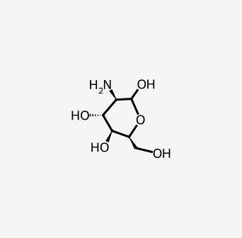 N[C@H]1C(O)O[C@@H](CO)[C@@H](O)[C@@H]1O